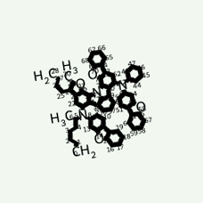 C=C/C=C\C=C(/C)N(c1ccc2c(c1)oc1ccccc12)c1cc2c(/C=C\C=C)c(C)oc2c2c1c1cccc3c4c(N(c5ccccc5)c5ccc6c(c5)oc5ccccc56)cc5c6ccccc6oc5c4n2c13